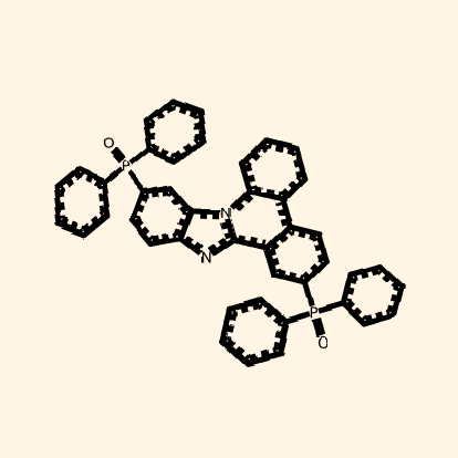 O=P(c1ccccc1)(c1ccccc1)c1ccc2c3ccccc3n3c4cc(P(=O)(c5ccccc5)c5ccccc5)ccc4nc3c2c1